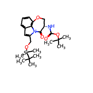 CC(C)(C)OC(=O)N[C@H]1COc2cccc3cc(CO[Si](C)(C)C(C)(C)C)n(c23)C1=O